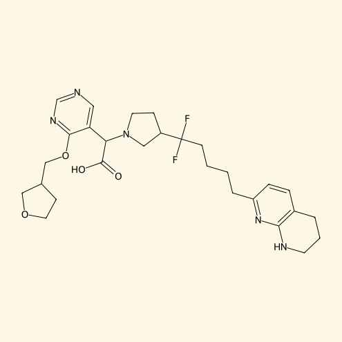 O=C(O)C(c1cncnc1OCC1CCOC1)N1CCC(C(F)(F)CCCCc2ccc3c(n2)NCCC3)C1